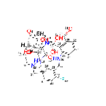 BC(O)(C=O)C(B)(O)C(C(=O)NC)N(C)C(O)(O)c1c(C=O)cccc1NCc1cc(CN2CC(C)OC(C)C2)ccc1F